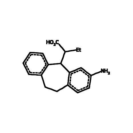 CCC(C(=O)O)C1c2ccccc2CCc2ccc(N)cc21